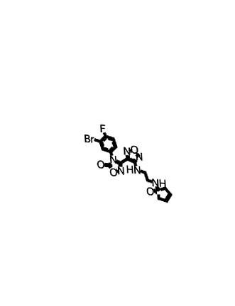 O=c1onc(-c2nonc2NCCNP2(=O)CC=CC2)n1-c1ccc(F)c(Br)c1